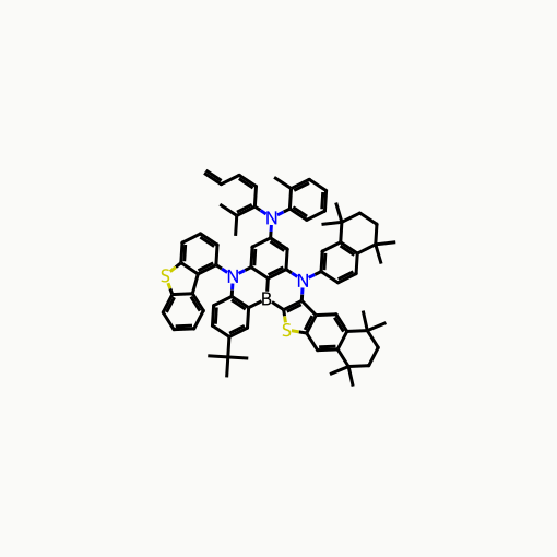 C=C/C=C\C(=C(C)C)N(c1cc2c3c(c1)N(c1cccc4sc5ccccc5c14)c1ccc(C(C)(C)C)cc1B3c1sc3cc4c(cc3c1N2c1ccc2c(c1)C(C)(C)CCC2(C)C)C(C)(C)CCC4(C)C)c1ccccc1C